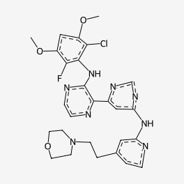 COc1cc(OC)c(Cl)c(Nc2nccnc2-c2cc(Nc3cc(CCN4CCOCC4)ccn3)ncn2)c1F